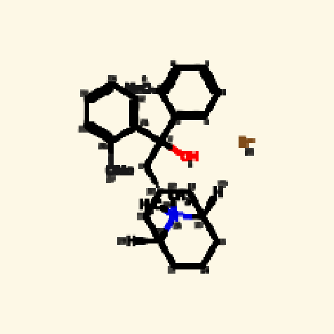 COc1ccccc1C(O)(C[C@H]1C[C@H]2CCC[C@@H](C1)[N+]2(C)C)c1ccccc1OC.[Br-]